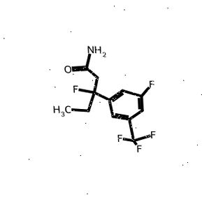 CCC(F)(CC(N)=O)c1cc(F)cc(C(F)(F)F)c1